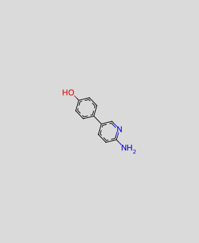 Nc1ccc(-c2ccc(O)cc2)cn1